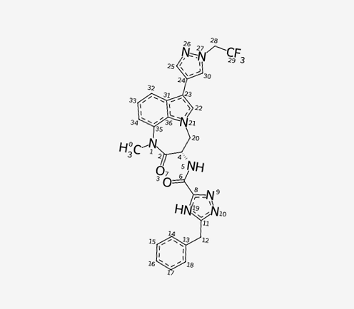 CN1C(=O)[C@@H](NC(=O)c2nnc(Cc3ccccc3)[nH]2)Cn2cc(-c3cnn(CC(F)(F)F)c3)c3cccc1c32